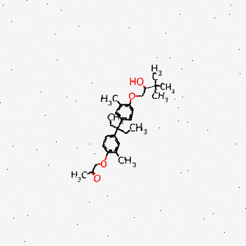 CCC(CC)(c1ccc(OCC(C)=O)c(C)c1)c1ccc(OCC(O)C(C)(C)C)c(C)c1